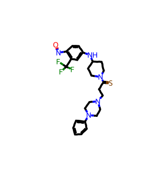 O=Nc1ccc(NC2CCN(C(=S)CCN3CCN(c4ccccc4)CC3)CC2)cc1C(F)(F)F